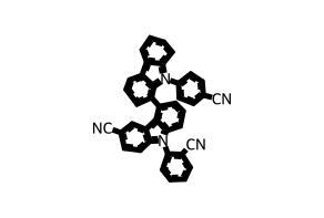 N#Cc1ccc(-n2c3ccccc3c3cccc(-c4cccc5c4c4cc(C#N)ccc4n5-c4ccccc4C#N)c32)cc1